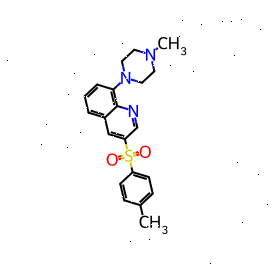 Cc1ccc(S(=O)(=O)c2cnc3c(N4CCN(C)CC4)cccc3c2)cc1